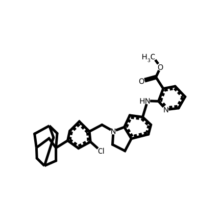 COC(=O)c1cccnc1Nc1ccc2c(c1)N(Cc1ccc(C34CC5CC(CC(C5)C3)C4)cc1Cl)CC2